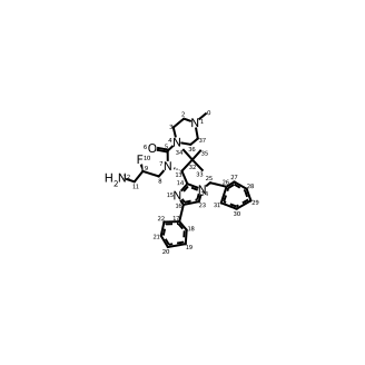 CN1CCN(C(=O)N(C[C@H](F)CN)[C@@H](c2nc(-c3ccccc3)cn2Cc2ccccc2)C(C)(C)C)CC1